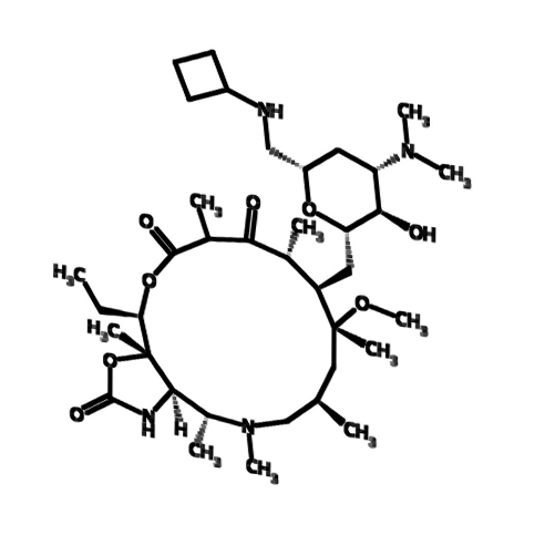 CC[C@H]1OC(=O)C(C)C(=O)[C@H](C)[C@@H](C[C@@H]2O[C@H](CNC3CCC3)C[C@H](N(C)C)[C@H]2O)[C@](C)(OC)C[C@@H](C)CN(C)[C@H](C)[C@H]2NC(=O)O[C@@]21C